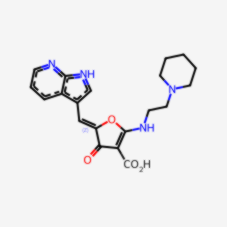 O=C(O)C1=C(NCCN2CCCCC2)O/C(=C\c2c[nH]c3ncccc23)C1=O